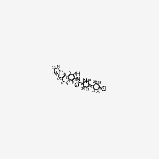 O=C(Nc1ccc2c(c1)CCC(CN1CCCC1)=C2)c1ccc(-c2ccc(Cl)cc2)cn1